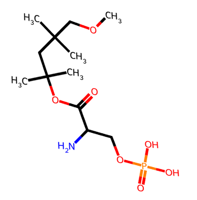 COCC(C)(C)CC(C)(C)OC(=O)C(N)COP(=O)(O)O